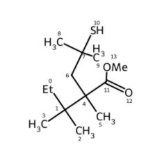 CCC(C)(C)C(C)(CC(C)(C)S)C(=O)OC